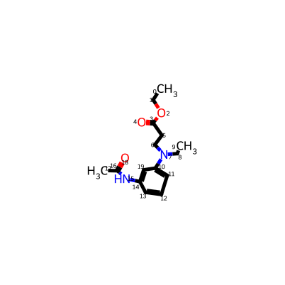 CCOC(=O)CCN(CC)c1cccc(NC(C)=O)c1